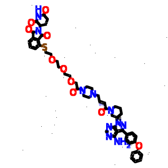 Nc1ncnc2c1c(-c1ccc(Oc3ccccc3)cc1)nn2[C@@H]1CCCN(C(=O)/C=C/CN2CCN(C(=O)COCCOCCOCCSc3cccc4c3C(=O)N(C3CCC(=O)NC3=O)C4=O)CC2)C1